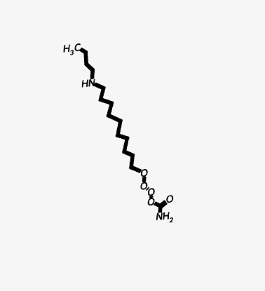 CCCCNCCCCCCCCCCOOOOC(N)=O